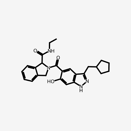 CCNC(=O)C1c2ccccc2CN1C(=O)c1cc2c(CC3CCCC3)n[nH]c2cc1O